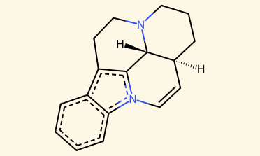 C1=Cn2c3c(c4ccccc42)CCN2CCC[C@@H]1[C@H]32